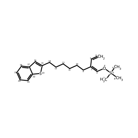 C=C/C(=C\O[Si](C)(C)C)CCCCCCc1cc2ccccc2s1